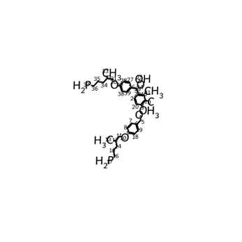 Cc1c(OOCc2ccc(OCC(C)CCCP)cc2)ccc(C(OO)c2ccc(OCC(C)CCCP)cc2)c1C